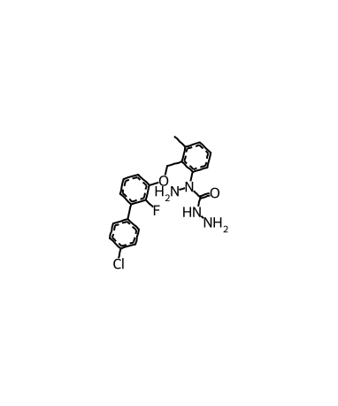 Cc1cccc(N(N)C(=O)NN)c1COc1cccc(-c2ccc(Cl)cc2)c1F